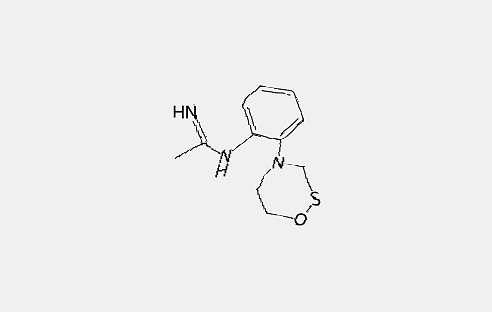 CC(=N)Nc1ccccc1N1CCOSC1